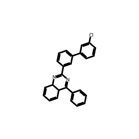 Clc1cccc(-c2cccc(C3=NC4C=CC=CC4C(c4ccccc4)=N3)c2)c1